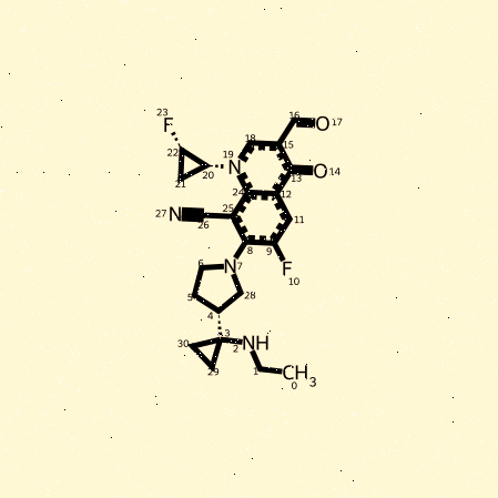 CCNC1([C@@H]2CCN(c3c(F)cc4c(=O)c(C=O)cn([C@@H]5C[C@@H]5F)c4c3C#N)C2)CC1